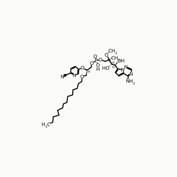 CCCCCCCCCCCCCCOC[C@H](COP(=O)(O)OC[C@@](C)(OC)[C@@H](O)[C@@H](O)c1ccc2c(N)ncnn12)Oc1ccc(C#N)nc1